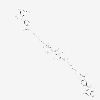 CN1Cc2c(Cl)cc(Cl)cc2C(c2ccc3c(c2)C(=O)N(CCOCCOCCNC(=O)[C@H](O)[C@H](O)[C@@H](O)[C@@H](O)C(=O)NCCOCCOCCN2Cc4ccc(C5CN(C)Cc6c(Cl)cc(Cl)cc65)cc4C2=O)C3)C1